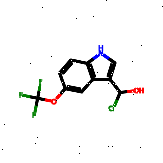 OC(Cl)c1c[nH]c2ccc(OC(F)(F)F)cc12